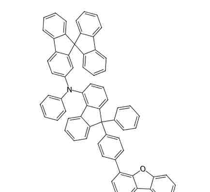 c1ccc(N(c2ccc3c(c2)C2(c4ccccc4-c4ccccc42)c2ccccc2-3)c2cccc3c2-c2ccccc2C3(c2ccccc2)c2ccc(-c3cccc4c3oc3ccccc34)cc2)cc1